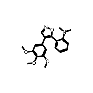 COc1cc(-c2cnoc2-c2ccccc2N(C)C)cc(OC)c1OC